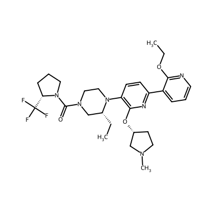 CCOc1ncccc1-c1ccc(N2CCN(C(=O)N3CCC[C@H]3C(F)(F)F)C[C@H]2CC)c(O[C@@H]2CCN(C)C2)n1